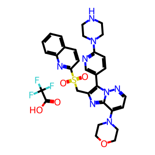 O=C(O)C(F)(F)F.O=S(=O)(Cc1nc2c(N3CCOCC3)ccnn2c1-c1ccc(N2CCNCC2)nc1)c1ccc2ccccc2n1